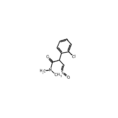 CN(C)C(=O)C(C=S=O)c1ccccc1Cl